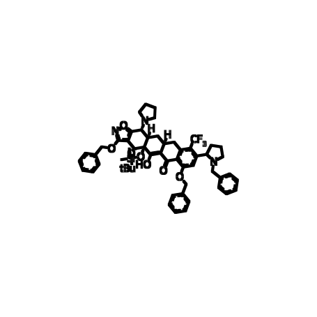 CC(C)(C)[Si](C)(C)O[C@@]12C(=O)c3c(OCc4ccccc4)noc3[C@@H](N3CCCC3)[C@@H]1C[C@@H]1Cc3c(c(OCc4ccccc4)cc(C4CCCN4Cc4ccccc4)c3C(F)(F)F)C(=O)C1=C2O